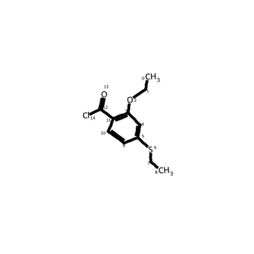 CCOc1cc(SCC)ccc1C(=O)Cl